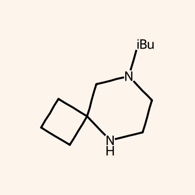 CCC(C)N1CCNC2(CCC2)C1